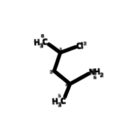 C[C](Cl)CC(C)N